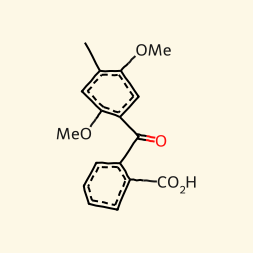 COc1cc(C(=O)c2ccccc2C(=O)O)c(OC)cc1C